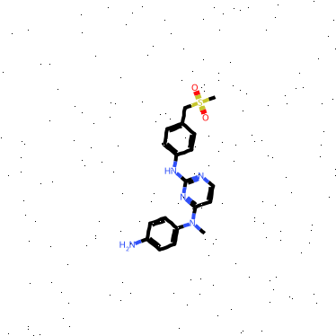 CN(c1ccc(N)cc1)c1ccnc(Nc2ccc(CS(C)(=O)=O)cc2)n1